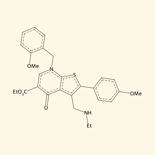 CCNCc1c(-c2ccc(OC)cc2)sc2c1c(=O)c(C(=O)OCC)cn2Cc1ccccc1OC